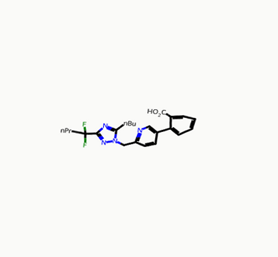 CCCCc1nc(C(F)(F)CCC)nn1Cc1ccc(-c2ccccc2C(=O)O)cn1